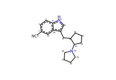 N#Cc1ccc2[nH]cc(CC3CCCC3N3CCCC3)c2c1